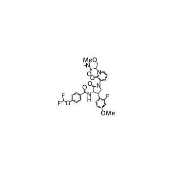 COCC(C(=O)N(C)C)n1cccc(N2C[C@@H](c3ccc(OC)cc3F)[C@H](NC(=O)c3ccc(OC(F)F)cc3)C2=O)c1=O